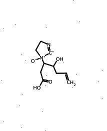 C=CCC(O)C(CC(=O)O)[N+]1([O-])[C+]=NCC1